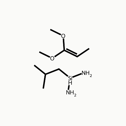 CC(C)C[SiH](N)N.CC=C(OC)OC